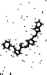 O=C(Nc1nc(/C=C/c2cn3c(n2)CCC3)cs1)c1cccn1Cc1ccncc1